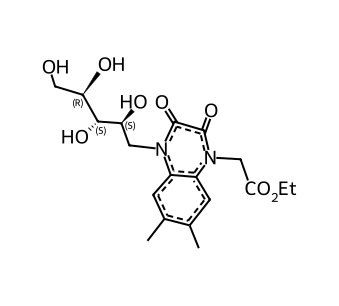 CCOC(=O)Cn1c(=O)c(=O)n(C[C@H](O)[C@H](O)[C@H](O)CO)c2cc(C)c(C)cc21